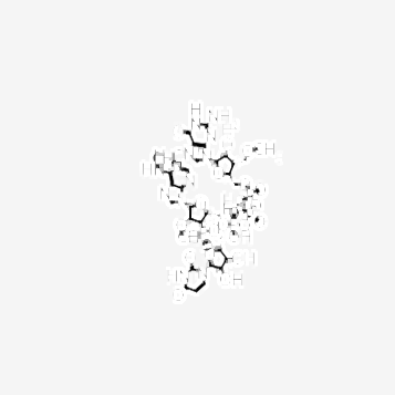 CNc1ncnc2c1ncn2[C@@H]1O[C@H](COP(=O)(O)OP(=O)(O)OP(=O)(O)OC[C@H]2O[C@@H](n3c[n+](C)c4c(=O)[nH]c(N)nc43)[C@H](O)[C@@H]2COC)[C@@H](P(=O)([O-])OC[C@H]2O[C@@H](n3ccc(=O)[nH]c3=O)[C@H](O)[C@@H]2O)[C@H]1OC